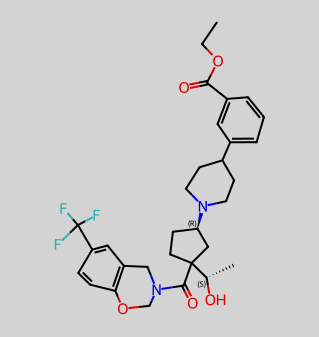 CCOC(=O)c1cccc(C2CCN([C@@H]3CCC(C(=O)N4COc5ccc(C(F)(F)F)cc5C4)([C@H](C)O)C3)CC2)c1